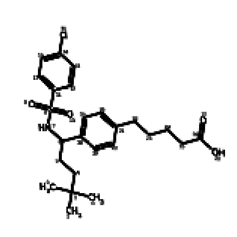 CC(C)(C)CCC(NS(=O)(=O)c1ccc(Cl)cc1)c1ccc(CCCCC(=O)O)cc1